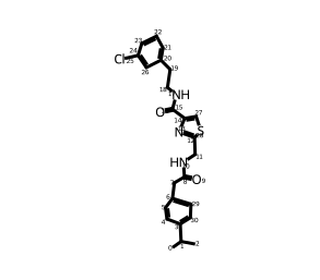 CC(C)c1ccc(CC(=O)NCc2nc(C(=O)NCCc3cccc(Cl)c3)cs2)cc1